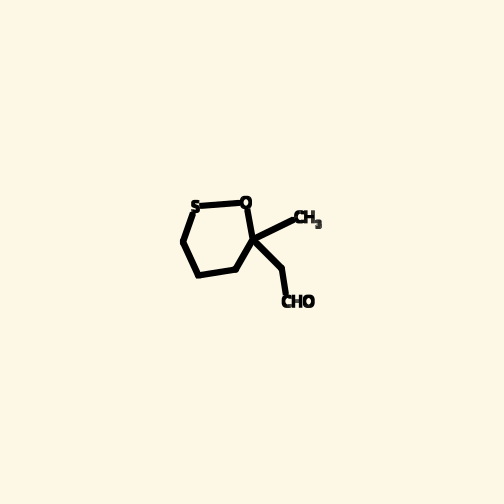 CC1(CC=O)CCCSO1